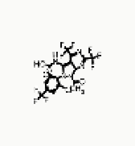 CC(=O)N1C2N=C(C(F)(F)F)N=C(C(F)(F)F)C2=C(NC(=O)O)N1c1c(Cl)cc(C(F)(F)F)cc1Cl